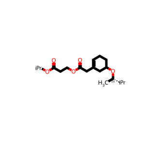 CC(C)OC(=O)CCOC(=O)CC1=CCCC(O[C@@H](C)C(C)C)C1